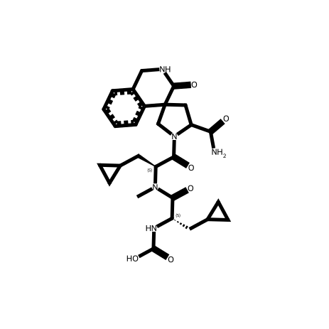 CN(C(=O)[C@H](CC1CC1)NC(=O)O)[C@@H](CC1CC1)C(=O)N1CC2(CC1C(N)=O)C(=O)NCc1ccccc12